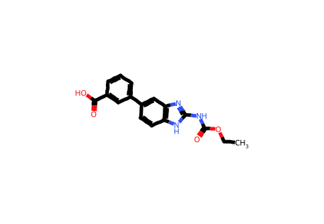 CCOC(=O)Nc1nc2cc(-c3cccc(C(=O)O)c3)ccc2[nH]1